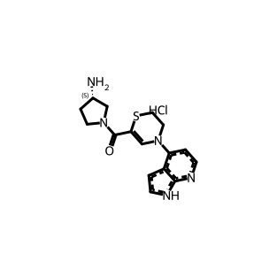 Cl.N[C@H]1CCN(C(=O)C2=CN(c3ccnc4[nH]ccc34)CCS2)C1